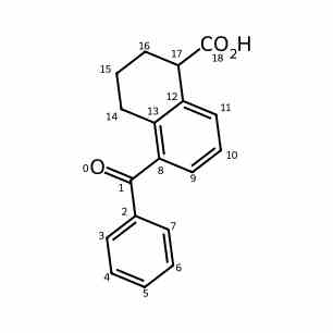 O=C(c1ccccc1)c1cccc2c1CCCC2C(=O)O